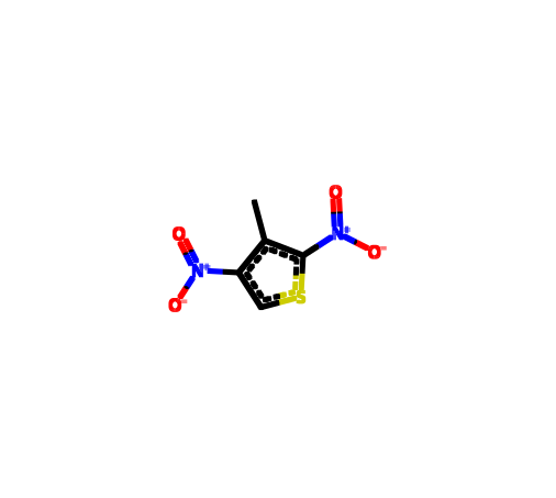 Cc1c([N+](=O)[O-])csc1[N+](=O)[O-]